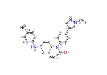 COC(=O)N(c1ccc(-c2cnn(C)c2)cc1)[C@H]1CC[C@H](Nc2ccc(C#N)cn2)CC1